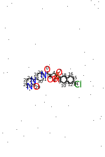 O=C([C@H](O)CS(=O)(=O)c1ccc2cc(Cl)ccc2c1)N1CCC(N2CCC[N]C2=O)CC1